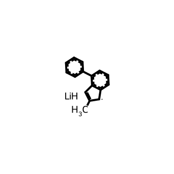 CC1=Cc2c(cccc2-c2ccccc2)[CH]1.[LiH]